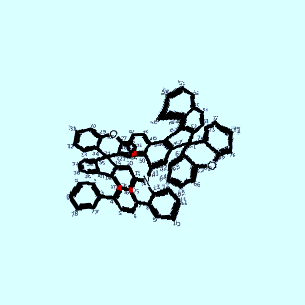 c1ccc(-c2ccc(-c3ccccc3N(c3ccc4c(c3)C3(c5ccccc5Oc5ccccc53)c3ccccc3-4)c3cc4c(c5ccccc35)-c3c(ccc5ccccc35)C43c4ccccc4Oc4ccccc43)cc2)cc1